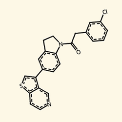 O=C(Cc1cccc(Cl)c1)N1CCc2cc(-c3csc4ccncc34)ccc21